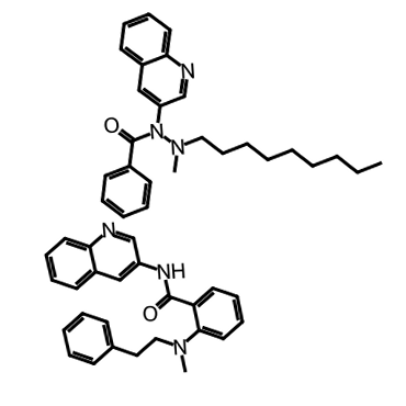 CCCCCCCCCN(C)N(C(=O)c1ccccc1)c1cnc2ccccc2c1.CN(CCc1ccccc1)c1ccccc1C(=O)Nc1cnc2ccccc2c1